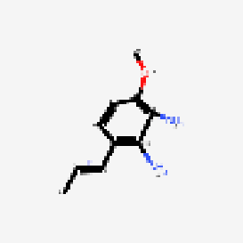 C/C=C/c1ccc(OC)c(N)c1N